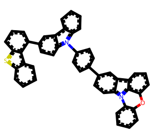 c1ccc2c(c1)Oc1cccc3c4cc(-c5ccc(-n6c7ccccc7c7cc(-c8cccc9sc%10ccccc%10c89)ccc76)cc5)ccc4n-2c13